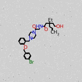 C=CCC(CC)(CCO)CC(=O)NCC(=O)N1CCN(Cc2ccccc2OCc2ccc(Br)cc2)CC1